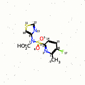 Cc1nc(S(=O)(=O)N(C(=O)O)c2cscn2)ccc1F